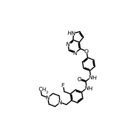 CCN1CCN(Cc2ccc(NC(=O)Nc3ccc(Oc4ncnc5[nH]ccc45)cc3)cc2CF)CC1